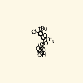 CC(C)(C)c1cc2c(cc1Cl)C=C(C(=O)O[C@H]1CO[C@H]3[C@@H]1OC[C@H]3O)C(C(F)(F)F)O2